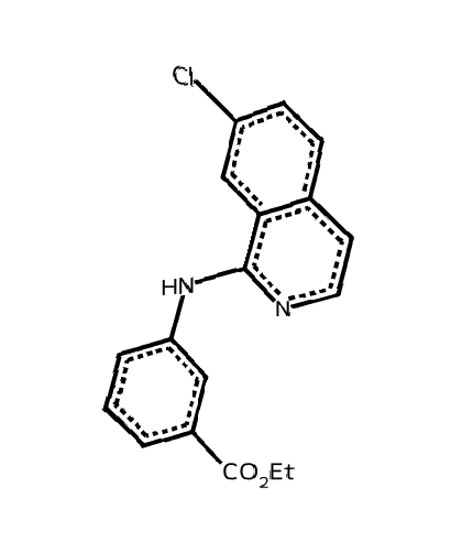 CCOC(=O)c1cccc(Nc2nccc3ccc(Cl)cc23)c1